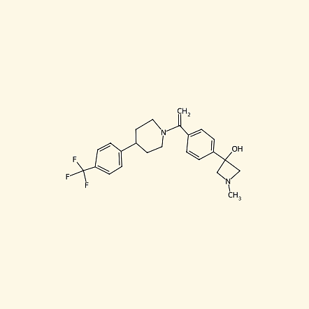 C=C(c1ccc(C2(O)CN(C)C2)cc1)N1CCC(c2ccc(C(F)(F)F)cc2)CC1